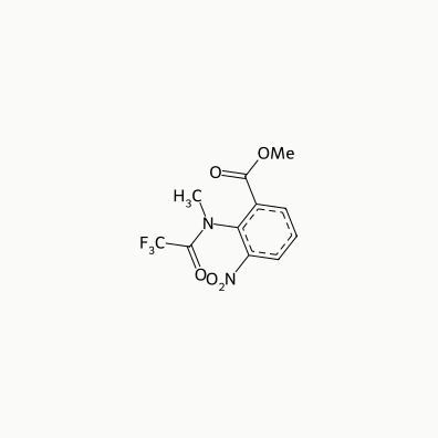 COC(=O)c1cccc([N+](=O)[O-])c1N(C)C(=O)C(F)(F)F